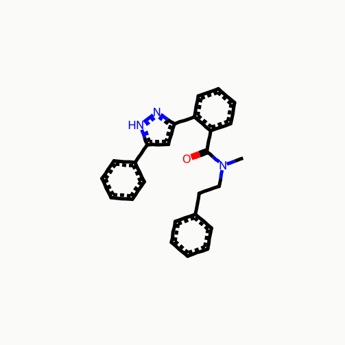 CN(CCc1ccccc1)C(=O)c1ccccc1-c1cc(-c2ccccc2)[nH]n1